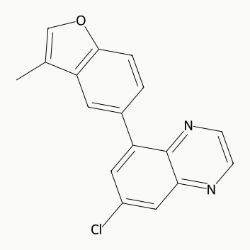 Cc1coc2ccc(-c3cc(Cl)cc4nccnc34)cc12